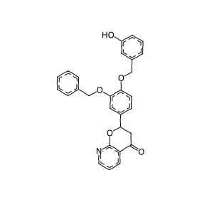 O=C1CC(c2ccc(OCc3cccc(O)c3)c(OCc3ccccc3)c2)Oc2ncccc21